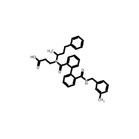 Cc1cccc(CNC(=O)c2ccccc2-c2ccccc2C(=O)N(CCC(=O)O)C(C)CCc2ccccc2)c1